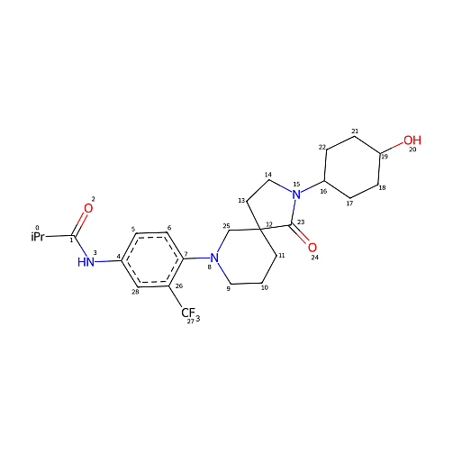 CC(C)C(=O)Nc1ccc(N2CCCC3(CCN(C4CCC(O)CC4)C3=O)C2)c(C(F)(F)F)c1